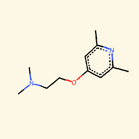 Cc1cc(OCCN(C)C)cc(C)n1